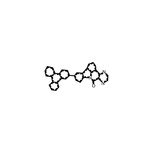 O=c1c2nccnc2c2cccc3c4cc(-c5ccc6c7ccccc7c7ccccc7c6c5)ccc4n1c32